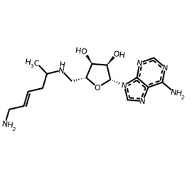 CC(C/C=C/CN)NC[C@H]1O[C@@H](n2cnc3c(N)ncnc32)[C@H](O)[C@@H]1O